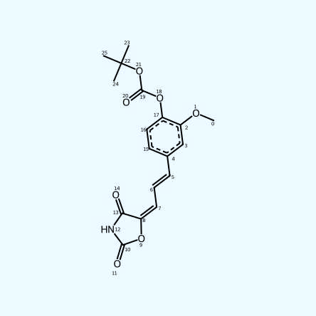 COc1cc(C=CC=C2OC(=O)NC2=O)ccc1OC(=O)OC(C)(C)C